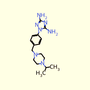 CC(C)N1CCN(Cc2ccc(-n3nc(N)nc3N)cc2)CC1